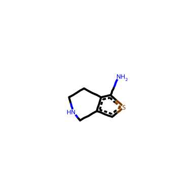 Nc1scc2c1CCNC2